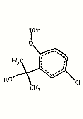 CCCOc1ccc(Cl)cc1C(C)(C)O